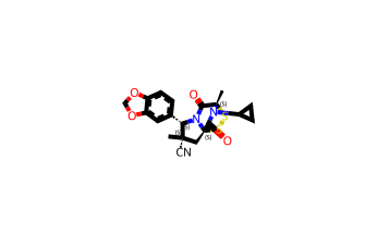 C[C@]1(C#N)C[C@@]23SS[C@@](C)(C(=O)N2[C@H]1c1ccc2c(c1)OCO2)N(C1CC1)C3=O